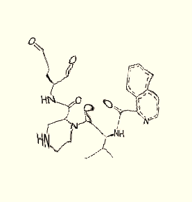 CC(C)[C@H](NC(=O)c1nccc2ccccc12)C(=O)N1CCNCC1C(=O)N[C@H](C=O)CC=O